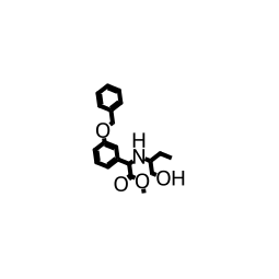 CCC(CO)NC(C(=O)OC)c1cccc(OCc2ccccc2)c1